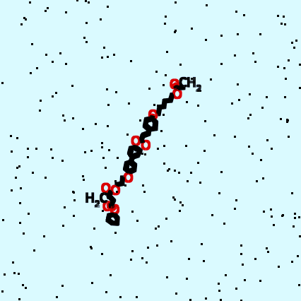 C=CC(=O)OCCCCCCOc1ccc(/C=C/C(=O)Oc2ccc(-c3ccc(OCCCOC(=O)C(=C)CC(=O)OC4CCCCC4)cc3)cc2)cc1